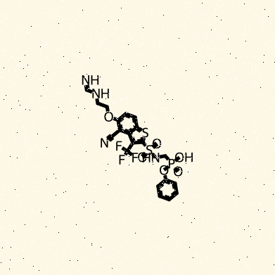 N#Cc1c(OCCNC=N)ccc2sc(S(=O)(=O)NCP(=O)(O)Oc3ccccc3)c(C(F)(F)F)c12